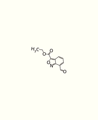 CCOC(=O)c1onc2c(C=O)cccc12